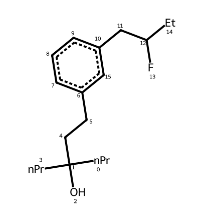 CCCC(O)(CCC)CCc1cccc(CC(F)CC)c1